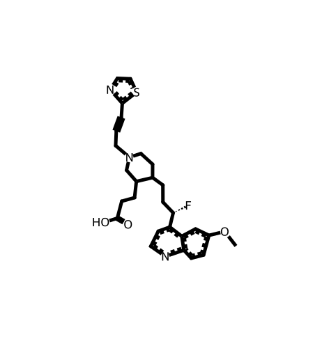 COc1ccc2nccc([C@@H](F)CCC3CCN(CC#Cc4nccs4)CC3CCC(=O)O)c2c1